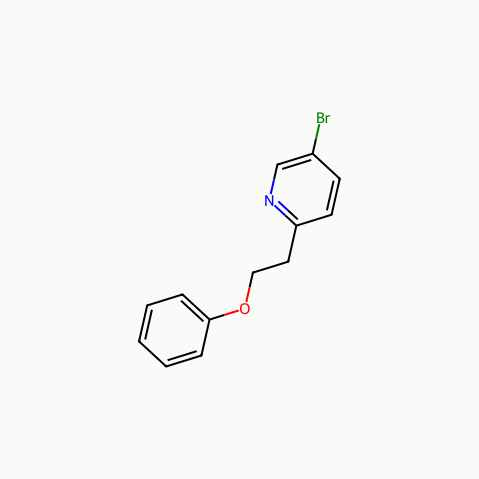 Brc1ccc(CCOc2ccccc2)nc1